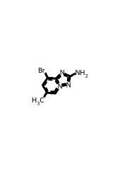 Cc1cc(Br)c2nc(N)nn2c1